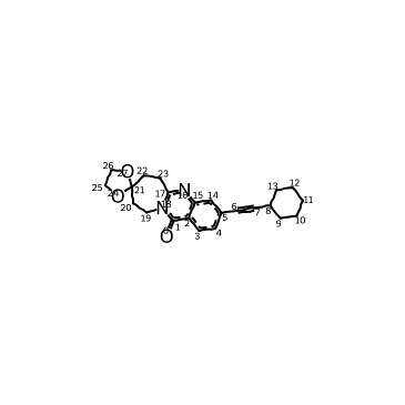 O=c1c2ccc(C#CC3CCCCC3)cc2nc2n1CCC1(CC2)OCCO1